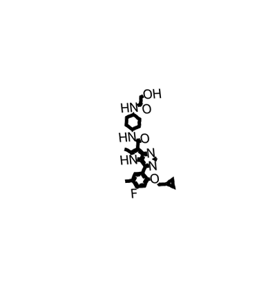 Cc1cc(-c2ncnc3c(C(=O)N[C@H]4CC[C@@H](NC(=O)CO)CC4)c(C)[nH]c23)c(OCC2CC2)cc1F